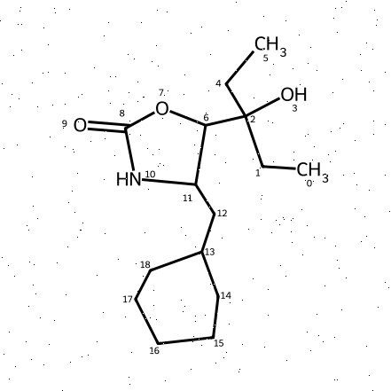 CCC(O)(CC)C1OC(=O)NC1CC1CCCCC1